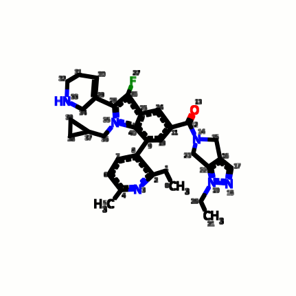 CCc1nc(C)ccc1-c1cc(C(=O)N2Cc3cnn(CC)c3C2)cc2c(F)c(C3=CCCNC3)n(CC3CC3)c12